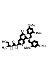 COc1ccc(CN(Cc2ccc(OC)cc2OC)c2nc(Cl)cc3cc(NC(=O)NC(C)CO)ncc23)c(OC)c1